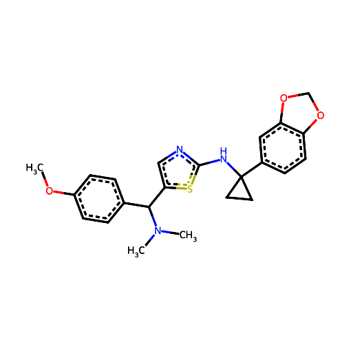 COc1ccc(C(c2cnc(NC3(c4ccc5c(c4)OCO5)CC3)s2)N(C)C)cc1